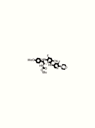 COc1ccc([C@@H](Nc2nc(Nc3cnc(N4CCOCC4)c(F)c3)c(C#N)cc2F)[C@H](C)NC(=O)OC(C)(C)C)cc1